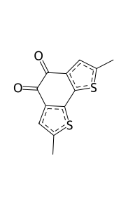 Cc1cc2c(s1)-c1sc(C)cc1C(=O)C2=O